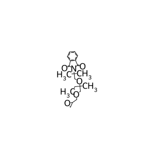 CCC(C)(COCC1CO1)OCC(C)(C)N1C(=O)c2ccccc2C1=O